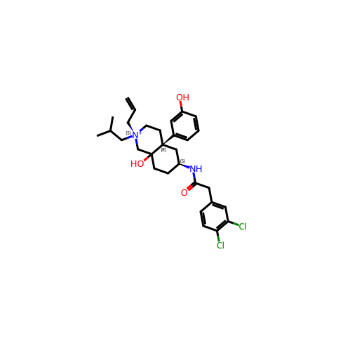 C=CC[N@@+]1(CC(C)C)CC[C@]2(c3cccc(O)c3)C[C@@H](NC(=O)Cc3ccc(Cl)c(Cl)c3)CCC2(O)C1